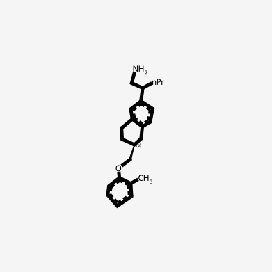 CCCC(CN)c1ccc2c(c1)CC[C@H](COc1ccccc1C)C2